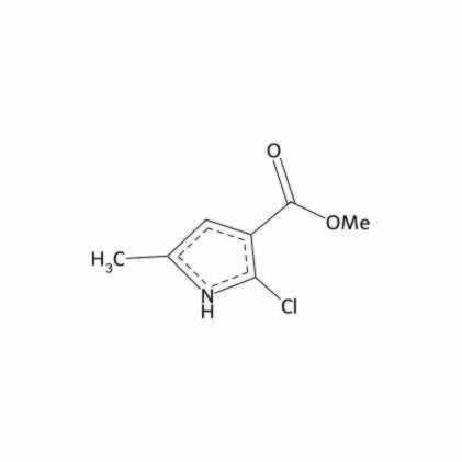 COC(=O)c1cc(C)[nH]c1Cl